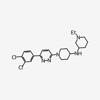 CCN1CCCC(NC2CCN(c3ccc(-c4ccc(Cl)c(Cl)c4)nn3)CC2)C1